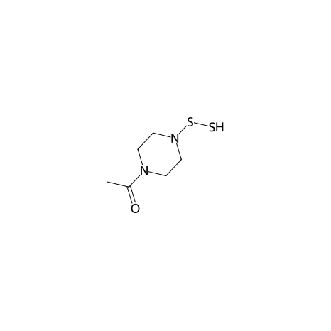 CC(=O)N1CCN(SS)CC1